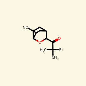 [CH2]CC(C)(C)C(=O)[C]1OC2CCC1CC2C#N